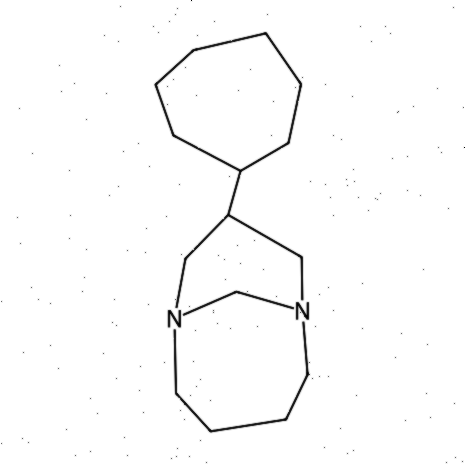 C1CCCC(C2CN3CCCCN(C2)C3)CC1